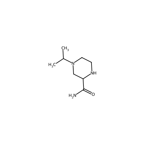 CC(C)N1CCNC(C(N)=O)C1